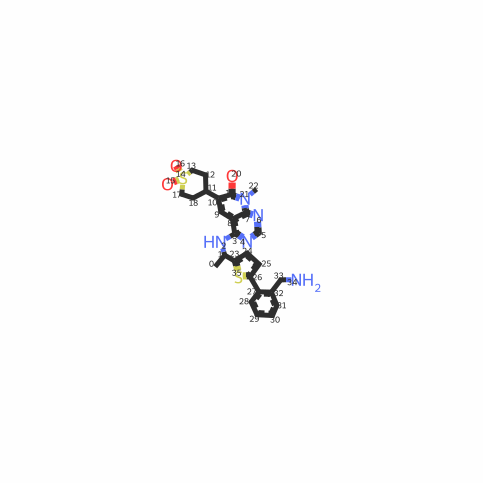 CC(Nc1ncnc2c1cc(C1CCS(=O)(=O)CC1)c(=O)n2C)c1ccc(-c2ccccc2CN)s1